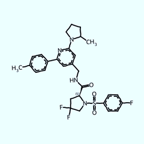 Cc1ccc(-c2cc(CNC(=O)[C@@H]3CC(F)(F)CN3S(=O)(=O)c3ccc(F)cc3)cc(N3CCCC3C)n2)cc1